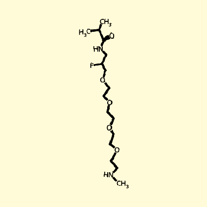 CNCCOCCOCCOCCOCC(F)CNC(=O)C(C)C